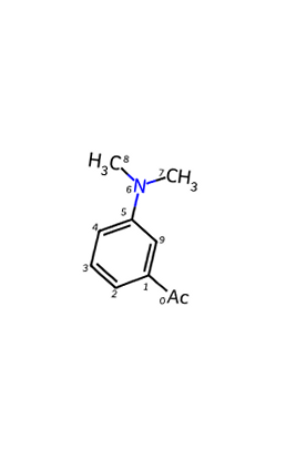 CC(=O)c1cccc(N(C)C)c1